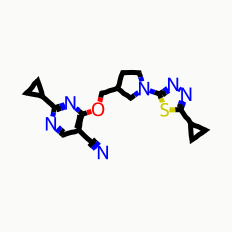 N#Cc1cnc(C2CC2)nc1OCC1CCN(c2nnc(C3CC3)s2)C1